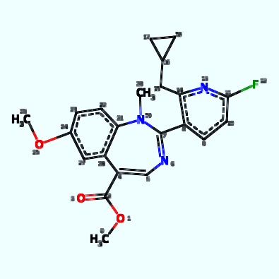 COC(=O)C1=CN=C(c2ccc(F)nc2CC2CC2)N(C)c2ccc(OC)cc21